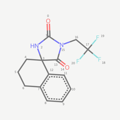 O=C1NC2(CCCc3ccccc32)C(=O)N1CC(F)(F)F